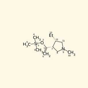 C=C(O[Si](C)(C)C)[C@H]1CN(C)C[C@H]1CC